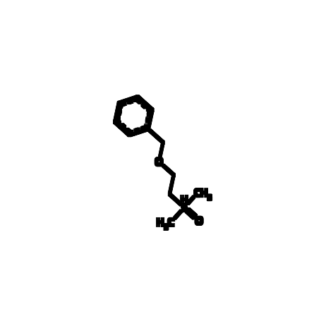 C[SH](C)(=O)CCOCc1ccccc1